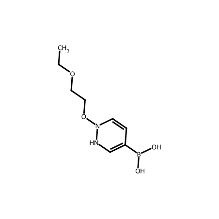 CCOCCON1C=CC(B(O)O)=CN1